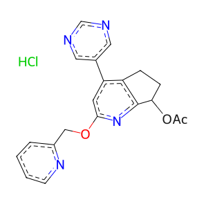 CC(=O)OC1CCc2c(-c3cncnc3)cc(OCc3ccccn3)nc21.Cl